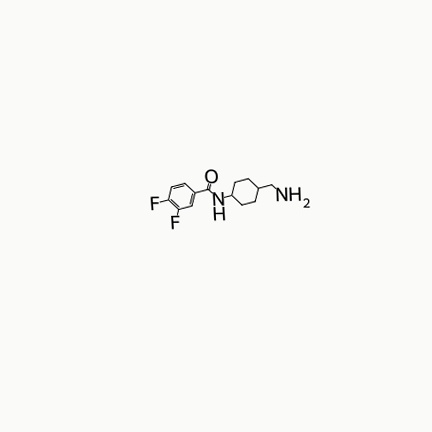 NCC1CCC(NC(=O)c2ccc(F)c(F)c2)CC1